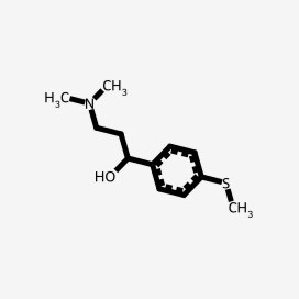 CSc1ccc(C(O)CCN(C)C)cc1